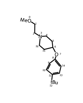 COCCN1CCC(Oc2ccc(C(C)(C)C)cc2)CC1